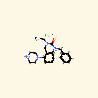 CCN1Cc2c(N3CCNCC3)cccc2N(Cc2ccccc2)C1=O.Cl